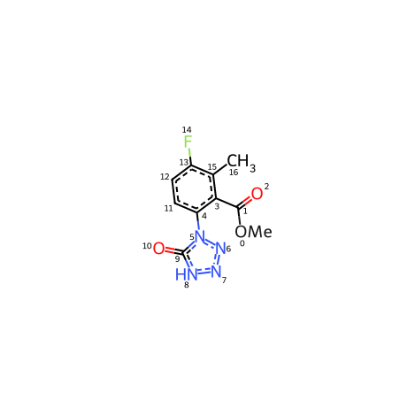 COC(=O)c1c(-n2nn[nH]c2=O)ccc(F)c1C